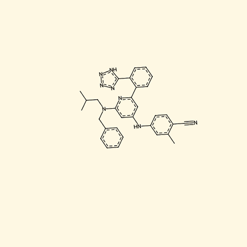 Cc1cc(Nc2cc(-c3ccccc3-c3nnn[nH]3)nc(N(Cc3ccccc3)CC(C)C)c2)ccc1C#N